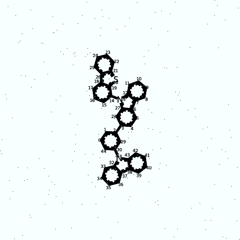 c1cc(-c2ccc3c4ccccc4n(-c4cccc5c4sc4ccccc45)c3c2)cc(-n2c3ccccc3c3ccccc32)c1